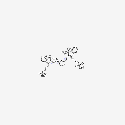 CC1(C)C(/C=C/C2=CC(=C/C=C3/N(CCCCS(=O)(=O)O)c4ccccc4C3(C)C)/CCC2)=[N+](CCCCS(=O)(=O)O)c2ccccc21